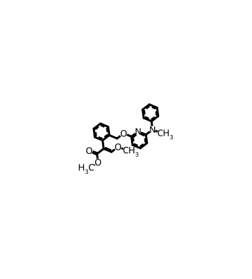 CO/C=C(/C(=O)OC)c1ccccc1COc1cccc(N(C)c2ccccc2)n1